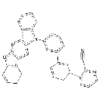 N#Cc1ncccc1C1C=C(c2cccc(-n3c4ccccc4c4cc5oc6c(c5cc43)CCC=C6)c2)C=CC1